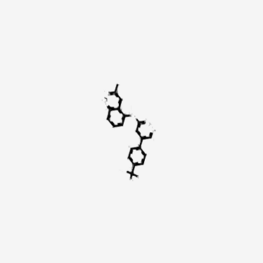 Cc1cc2c(Nc3cc(-c4ccc(C(F)(F)F)cc4)cnn3)cccc2nn1